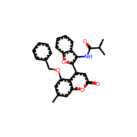 Cc1cc(OCc2ccccc2)c2c(-c3oc4ccccc4c3NC(=O)C(C)C)cc(=O)oc2c1